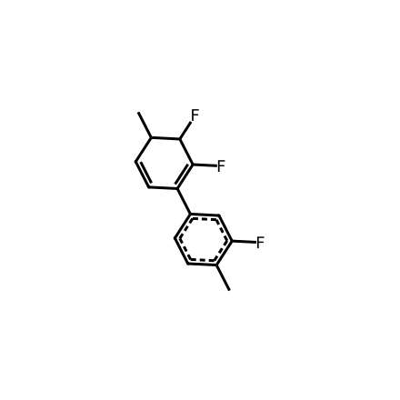 Cc1ccc(C2=C(F)C(F)C(C)C=C2)cc1F